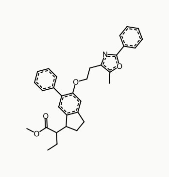 CCC(C(=O)OC)C1CCc2cc(OCCc3nc(-c4ccccc4)oc3C)c(-c3ccccc3)cc21